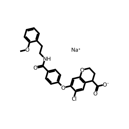 COc1ccccc1CCNC(=O)c1ccc(Oc2cc3c(cc2Cl)C(C(=O)[O-])CCO3)cc1.[Na+]